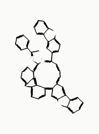 C/C(=N\c1nc(-c2ccc3oc4ccccc4c3c2)cccc2cc3c(cc2c2cccc4oc5cccc1c5c42)oc1ccccc13)c1ccccc1